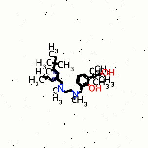 C=C/C=C(\C=C(/C)C(C)(C)CC)CN(C)CCN(C)Cc1cccc(C(C)(C)C(C)(C)O)c1O